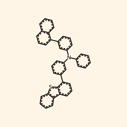 c1ccc(N(c2cccc(-c3cccc4ccccc34)c2)c2cccc(-c3cccc4c3sc3ccccc34)c2)cc1